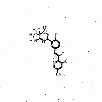 Cc1cc(C#N)cnc1/C(F)=C/c1ccc(F)c(C2C[S+]([O-])C(C)(C)C(N)=N2)c1